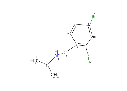 CC(C)NCc1ccc(Br)cc1F